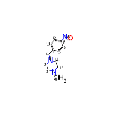 CN1CCN(Cc2ccc(N=O)cc2)CC1